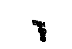 CCNCCCCS(=O)(=O)N1CCN(c2ccccc2)CC1